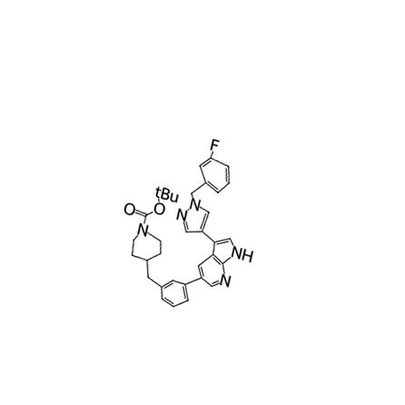 CC(C)(C)OC(=O)N1CCC(Cc2cccc(-c3cnc4[nH]cc(-c5cnn(Cc6cccc(F)c6)c5)c4c3)c2)CC1